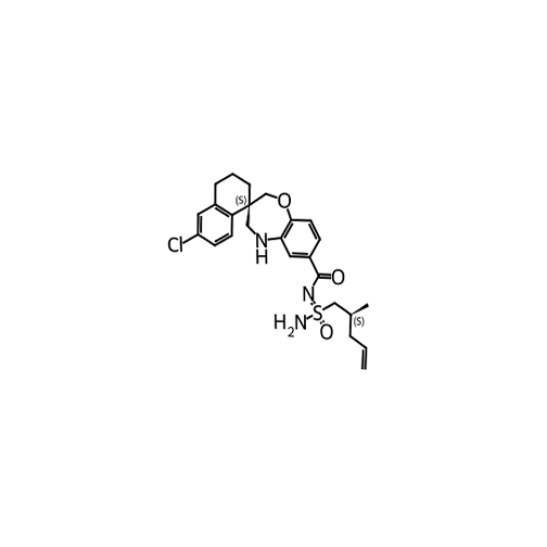 C=CC[C@H](C)CS(N)(=O)=NC(=O)c1ccc2c(c1)NC[C@@]1(CCCc3cc(Cl)ccc31)CO2